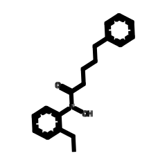 CCc1ccccc1N(O)C(=O)CCCCc1ccccc1